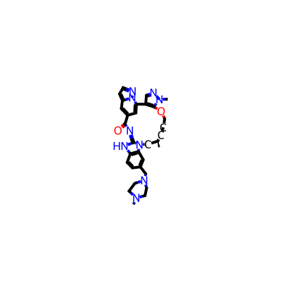 C[C@@H]1CCCOc2c(cnn2C)-c2cc(cc3ccnn23)C(=O)/N=C2\Nc3ccc(CN4CCN(C)CC4)cc3N2C1